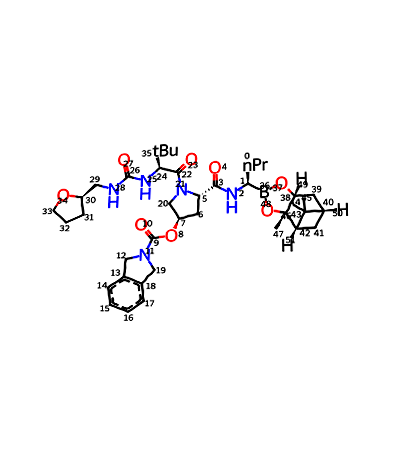 CCC[C@H](NC(=O)[C@@H]1C[C@@H](OC(=O)N2Cc3ccccc3C2)CN1C(=O)[C@@H](NC(=O)NC[C@H]1CCCO1)C(C)(C)C)B1O[C@@H]2C[C@@H]3C[C@@H](C3(C)C)[C@]2(C)O1